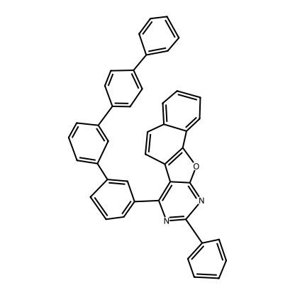 c1ccc(-c2ccc(-c3cccc(-c4cccc(-c5nc(-c6ccccc6)nc6oc7c8ccccc8ccc7c56)c4)c3)cc2)cc1